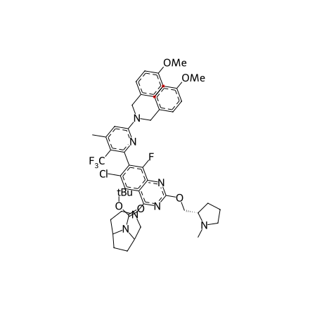 COc1ccc(CN(Cc2ccc(OC)cc2)c2cc(C)c(C(F)(F)F)c(-c3c(Cl)cc4c(N5CCC6CCC(C5)N6C(=O)OC(C)(C)C)nc(OC[C@@H]5CCCN5C)nc4c3F)n2)cc1